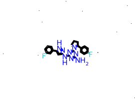 Nc1nc(Nc2cc(-c3cccc(F)c3)[nH]n2)nc(N2CCCC2c2ccc(F)cc2)n1